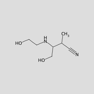 CC(C#N)C(CO)NCCO